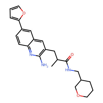 CC(Cc1cc2cc(-c3ccco3)ccc2nc1N)C(=O)NCC1CCCOC1